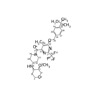 CO[C@H]1COCC[C@H]1NC1CCN(C(=O)c2nc(C(F)(F)F)nc(OCc3ccc(C(C)(C)C)cc3)c2C)CC1